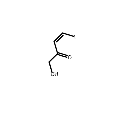 O=C(/C=C\I)CO